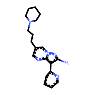 Nc1nn2cc(CCCN3CCCCC3)cnc2c1-c1ccccn1